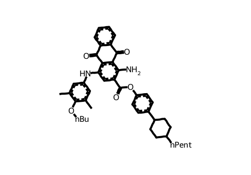 CCCCCC1CCC(c2ccc(OC(=O)c3cc(Nc4cc(C)c(OCCCC)c(C)c4)c4c(c3N)C(=O)c3ccccc3C4=O)cc2)CC1